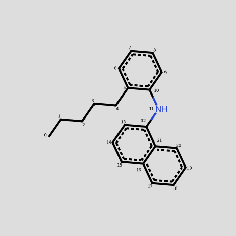 CCCCCc1ccccc1Nc1cccc2ccccc12